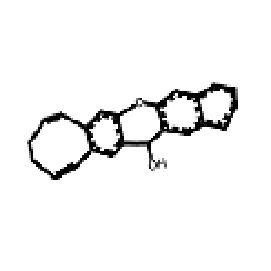 OC1c2cc3c(cc2Oc2cc4ccccc4cc21)/C=C\CC/C=C\3